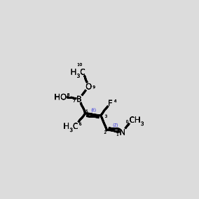 C/N=C\C(F)=C(/C)B(O)OC